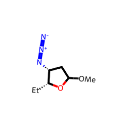 CC[C@H]1OC(OC)C[C@H]1N=[N+]=[N-]